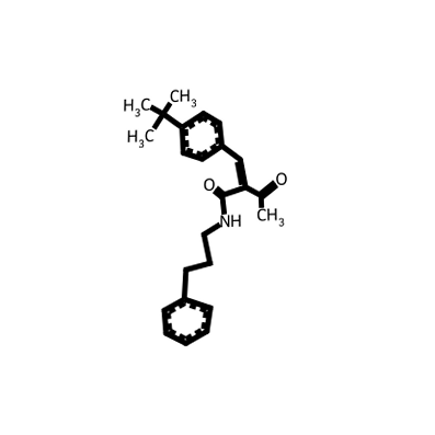 CC(=O)C(=Cc1ccc(C(C)(C)C)cc1)C(=O)NCCCc1ccccc1